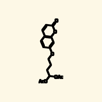 CC(=O)OC(CCCOc1ccc2ccc(=O)oc2c1)OC(C)=O